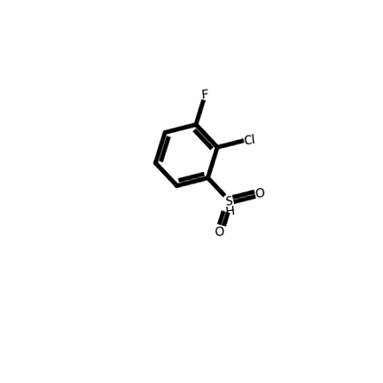 O=[SH](=O)c1cccc(F)c1Cl